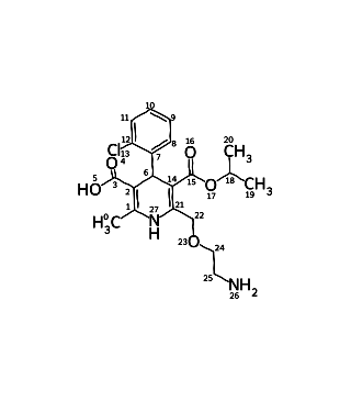 CC1=C(C(=O)O)C(c2ccccc2Cl)C(C(=O)OC(C)C)=C(COCCN)N1